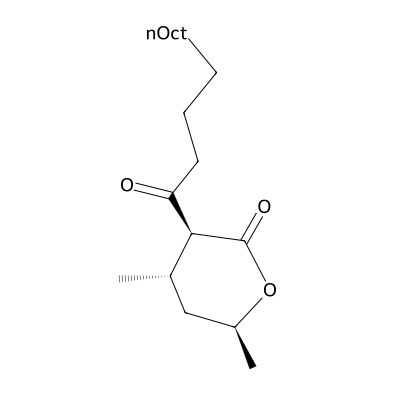 CCCCCCCCCCCC(=O)[C@H]1C(=O)O[C@@H](C)C[C@@H]1C